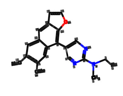 CCC(C)CN(C)c1ncc(-c2c3cc(OC)c(OC)cc3cc3ccoc23)cn1